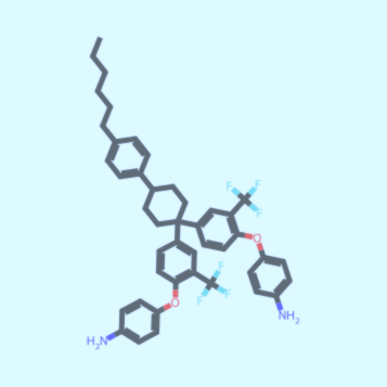 CCCCCCc1ccc(C2CCC(c3ccc(Oc4ccc(N)cc4)c(C(F)(F)F)c3)(c3ccc(Oc4ccc(N)cc4)c(C(F)(F)F)c3)CC2)cc1